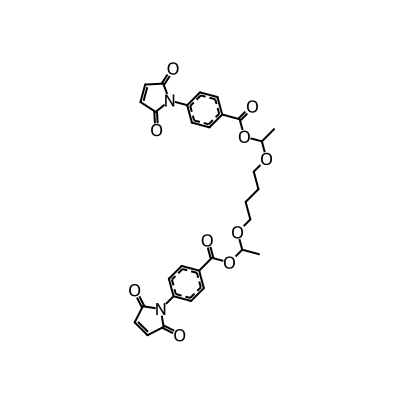 CC(OCCCCOC(C)OC(=O)c1ccc(N2C(=O)C=CC2=O)cc1)OC(=O)c1ccc(N2C(=O)C=CC2=O)cc1